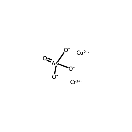 O=[As]([O-])([O-])[O-].[Cr+3].[Cu+2]